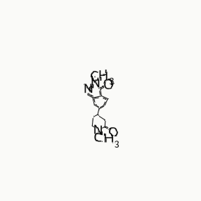 CN1CCC(c2ccc3c(=O)n(C)ncc3c2)CC1=O